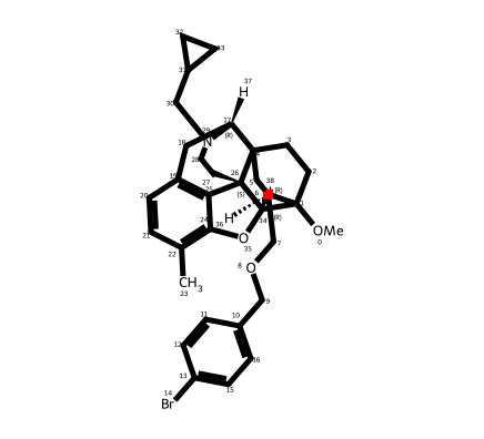 COC12CCC3(C[C@@H]1COCc1ccc(Br)cc1)[C@H]1Cc4ccc(C)c5c4[C@@]3(CCN1CC1CC1)[C@H]2O5